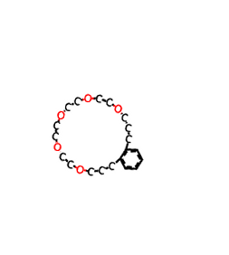 c1ccc2c(c1)CCCOCCOCCOCCOCCOCCC2